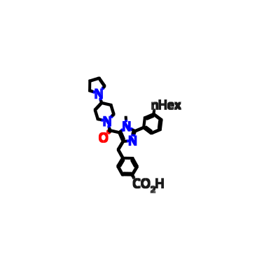 CCCCCCc1cccc(-c2nc(Cc3ccc(C(=O)O)cc3)c(C(=O)N3CCC(N4CCCC4)CC3)n2C)c1